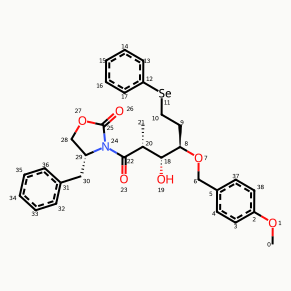 COc1ccc(CO[C@H](CC[Se]c2ccccc2)[C@H](O)[C@@H](C)C(=O)N2C(=O)OC[C@H]2Cc2ccccc2)cc1